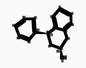 O[C@H]1Cc2ccccc2[C@@H](c2ccccc2)C1